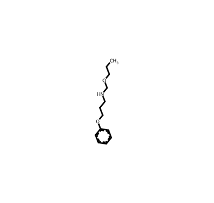 CCCOCNCCCOc1ccccc1